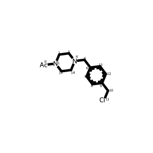 CC(=O)N1CCN(Cc2ccc(CCl)cc2)CC1